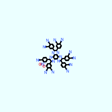 N#Cc1ccc(-c2nc3c4nc(-c5ccc(C#N)c(C#N)c5)c(-c5ccc(C#N)c(C#N)c5)nc4c4nc(-c5ccc(C#N)c([N+](=O)[O-])c5)c(-c5ccc(C#N)c(C#N)c5)nc4c3nc2-c2ccc(C#N)c(C#N)c2)cc1C#N